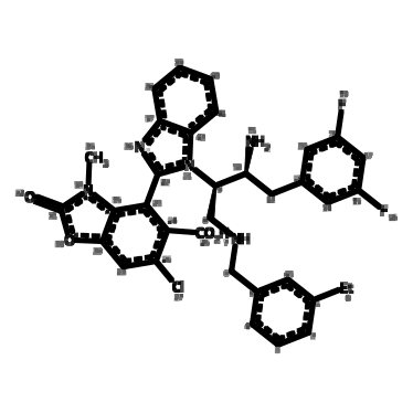 CCc1cccc(CNC[C@H]([C@@H](N)Cc2cc(F)cc(F)c2)n2c(-c3c(C(=O)O)c(Cl)cc4oc(=O)n(C)c34)nc3ccccc32)c1